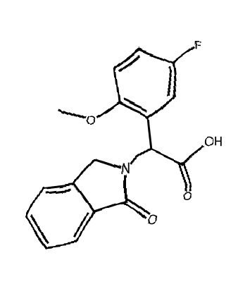 COc1ccc(F)cc1C(C(=O)O)N1Cc2ccccc2C1=O